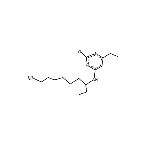 CCc1cc(NC(CC)CCCCCCN)nc(Cl)n1